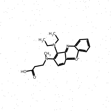 CCN(CC)c1c(N(C)CCC(=O)O)ccc2[o+]c3ccccc3nc12